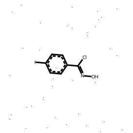 ON=C(Cl)c1ccc(I)cc1